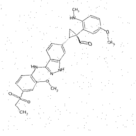 CCS(=O)(=O)c1ccc(Nc2n[nH]c3cc([C@@H]4C[C@]4(C=O)c4cc(OC)ccc4NC)ccc23)c(OC)c1